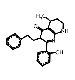 CC1CCNC2=C1C(=O)C(CCc1ccccc1)C(c1ccccc1O)=N2